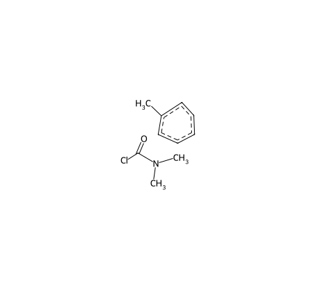 CN(C)C(=O)Cl.Cc1ccccc1